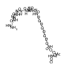 CC(=O)N1c2ccc(-c3ccc(C(=O)NCCOCCOCCOCCOCCOCCOCCOCCOCCNC(=O)c4cc(NC(=O)c5nc(NC(=O)CCNC(=O)c6cc(NC(=O)c7nc(NC(=O)CCCC(=N)N)cn7C)cn6C)cn5C)cn4C)cc3)cc2[C@H](Nc2ccc(Cl)cc2)C[C@@H]1C